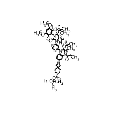 C=CC(=O)Nc1cc(N2CC3(CCN(C(=O)OC(C)(C)C)CC3)C2)ccc1N(C(=O)OC(C)(C)C)c1cc(N(C)C(=O)N(C(=O)OC(C)(C)C)c2c(Cl)c(OC)cc(OC)c2Cl)ncn1